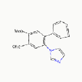 COc1cc(-c2ccccc2)c(-n2ccnc2)cc1C=O